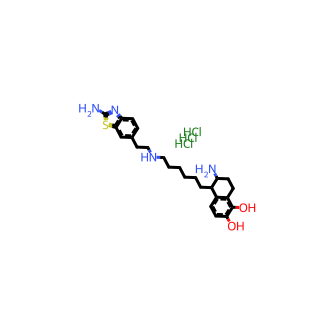 Cl.Cl.Cl.Nc1nc2ccc(CCNCCCCCCC3c4ccc(O)c(O)c4CCC3N)cc2s1